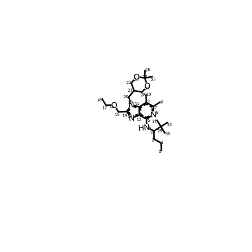 CCCC(Nc1nc(C)c(C)c2c1nc(COCC)n2CC1COC(C)(C)OC1)C(C)(C)C